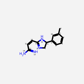 Cc1cccc(C2CN=C(/C=C\C(=N)N)N2)c1